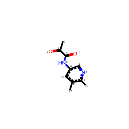 CC(=O)C(=O)Nc1cnc(C)c(C)c1